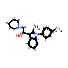 Cc1ccc(-n2c(C)c(C(O)CN3CCCCC3)c3ccccc32)cc1